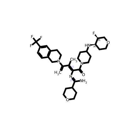 C=C(/C(C)=C(\N=C(/N)C1CCOCC1)C(=O)N1CCC(N[C@@H]2CCOC[C@@H]2F)CC1)N1CCc2cc(C(F)(F)F)ccc2C1